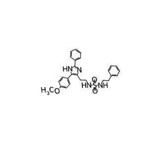 COc1ccc(-c2[nH]c(-c3ccccc3)nc2CCNS(=O)(=O)NCCc2ccccc2)cc1